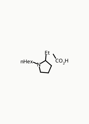 CC(=O)O.CCCCCCN1CCCC1CC